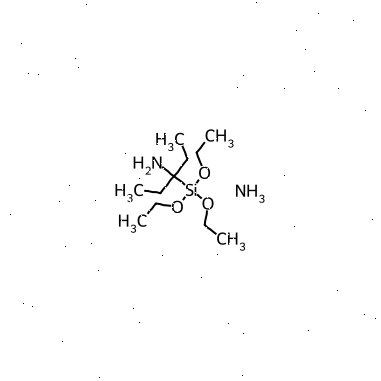 CCO[Si](OCC)(OCC)C(N)(CC)CC.N